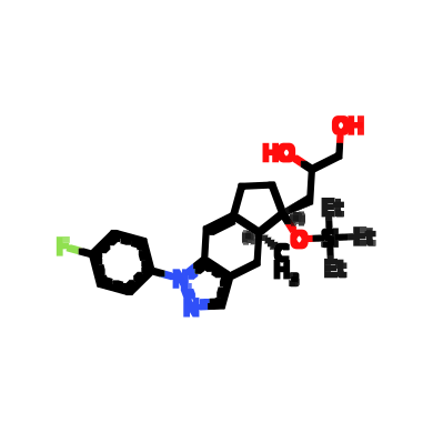 CC[Si](CC)(CC)O[C@@]1(CC(O)CO)CCC2=Cc3c(cnn3-c3ccc(F)cc3)C[C@@]21C